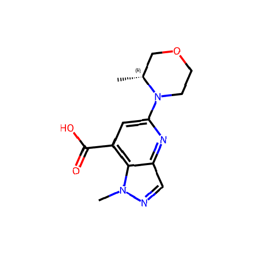 C[C@@H]1COCCN1c1cc(C(=O)O)c2c(cnn2C)n1